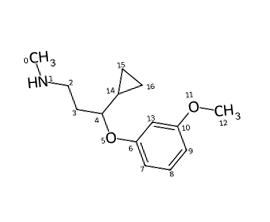 CNCCC(Oc1cccc(OC)c1)C1CC1